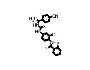 CC(NC(=S)Nc1ccc(NC(=O)c2ccccc2F)c(Cl)c1)c1ccc(C#N)cc1